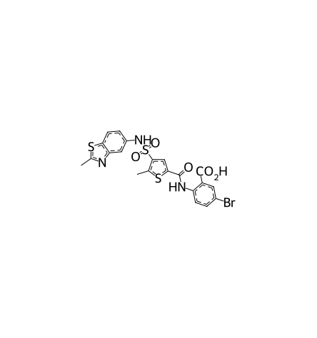 Cc1nc2cc(NS(=O)(=O)c3cc(C(=O)Nc4ccc(Br)cc4C(=O)O)sc3C)ccc2s1